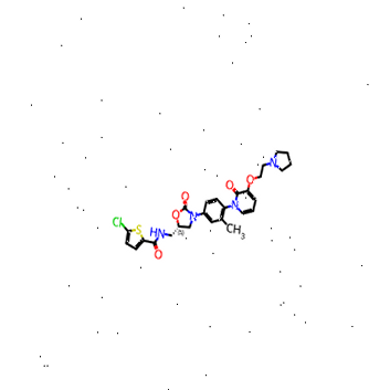 Cc1cc(N2C[C@H](CNC(=O)c3ccc(Cl)s3)OC2=O)ccc1-n1cccc(OCCN2CCCC2)c1=O